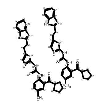 Cc1ccc(NC(=O)Nc2ncc(CCc3nc4ccccc4[nH]3)s2)c(C(=O)C2CCCC2)c1.Cc1ccc(NC(=O)Nc2ncc(CCc3nc4ncccc4[nH]3)s2)c(C(=O)C2CCCC2)c1